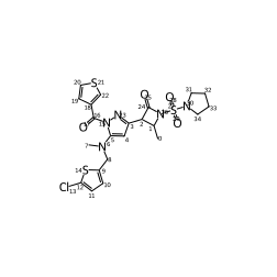 CC1C(c2cc(N(C)Cc3ccc(Cl)s3)n(C(=O)c3ccsc3)n2)C(=O)N1S(=O)(=O)N1CCCC1